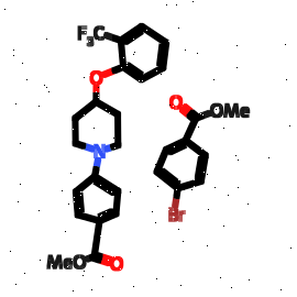 COC(=O)c1ccc(Br)cc1.COC(=O)c1ccc(N2CCC(Oc3ccccc3C(F)(F)F)CC2)cc1